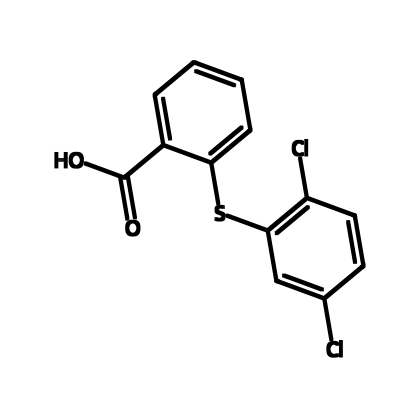 O=C(O)c1ccccc1Sc1cc(Cl)ccc1Cl